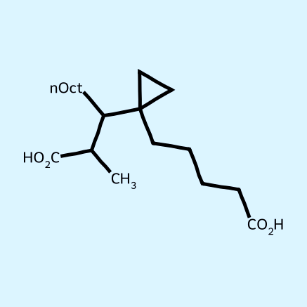 CCCCCCCCC(C(C)C(=O)O)C1(CCCCC(=O)O)CC1